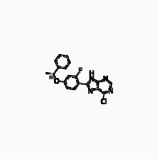 C[C@H](Oc1ccc(-c2nc3c(Cl)ncnc3[nH]2)c(F)c1)c1ccccc1